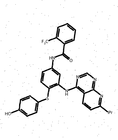 CC(C)c1ccc2c(Nc3cc(NC(=O)c4ccccc4C(F)(F)F)ccc3Sc3ccc(O)cc3)ncnc2n1